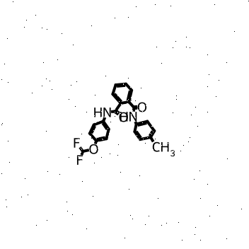 Cc1ccc(NC(=O)c2ccccc2C(=O)Nc2ccc(OC(F)F)cc2)cc1